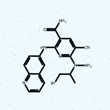 CC(C)CC(C)N(N)c1nc(Nc2ccc3ncccc3c2)c(C(N)=O)cc1C#N